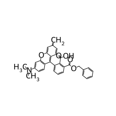 C=c1ccc2c(c1)Oc1cc(N(C)C)ccc1C=2c1cccc(C(=O)OCc2ccccc2)c1C(=O)O